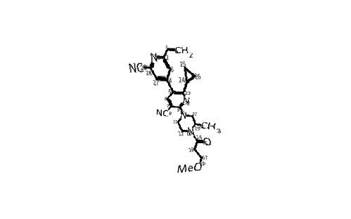 C=Cc1cc(-c2cc(C#N)c(N3CCN(C(=O)CCOC)C(C)C3)nc2C2CC2)cc(C#N)n1